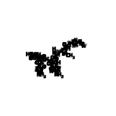 CSS[C@@H](CC[C@H](N)C(=O)O[C@H]1[C@@H](O)[C@H](n2cnc3c(N)ncnc32)O[C@@H]1COP(=O)(O)[C@H]1C[C@H](n2ccc(N)nc2=O)O[C@@H]1COP(=O)(O)O)CNC(=O)OCc1ccc(N=[N+]=[N-])cc1